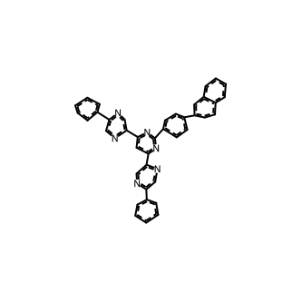 c1ccc(-c2cnc(-c3cc(-c4cnc(-c5ccccc5)cn4)nc(-c4ccc(-c5ccc6ccccc6c5)cc4)n3)cn2)cc1